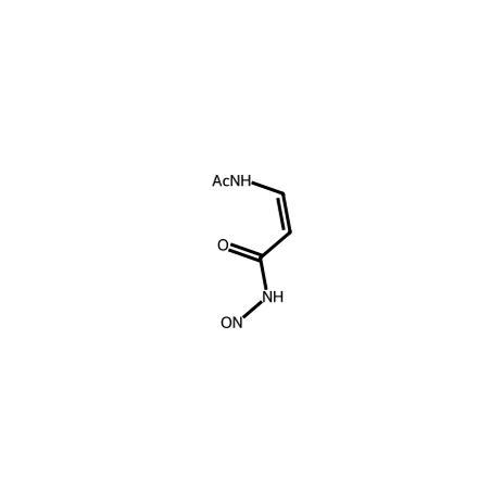 CC(=O)N/C=C\C(=O)NN=O